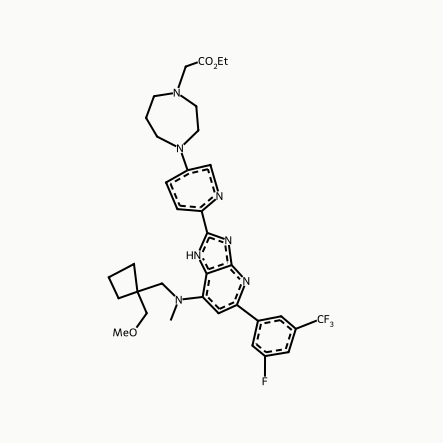 CCOC(=O)CN1CCCN(c2ccc(-c3nc4nc(-c5cc(F)cc(C(F)(F)F)c5)cc(N(C)CC5(COC)CCC5)c4[nH]3)nc2)CC1